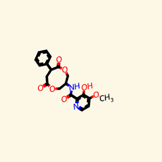 COc1ccnc(C(=O)NC2COC(=O)CC(c3ccccc3)C(=O)OC2)c1O